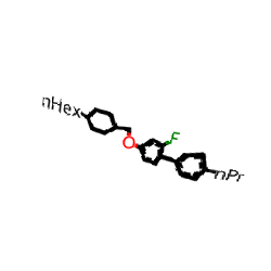 CCCCCCC1CCC(COc2ccc(-c3ccc(CCC)cc3)c(F)c2)CC1